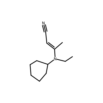 CCN(C(C)=CC#N)C1CCCCC1